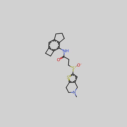 CN1CCc2sc([S+]([O-])CCC(=O)Nc3c4c(cc5c3CC5)CCC4)cc2C1